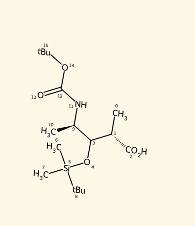 C[C@H](C(=O)O)C(O[Si](C)(C)C(C)(C)C)[C@@H](C)NC(=O)OC(C)(C)C